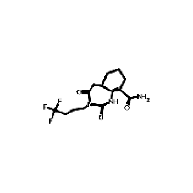 NC(=O)C1=C2NC(=O)N(CCCC(F)(F)F)C(=O)CC2CCC1